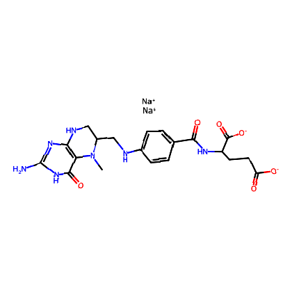 CN1c2c(nc(N)[nH]c2=O)NCC1CNc1ccc(C(=O)NC(CCC(=O)[O-])C(=O)[O-])cc1.[Na+].[Na+]